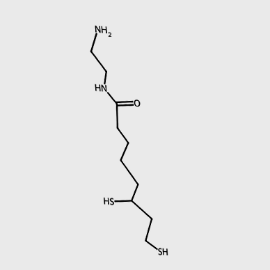 NCCNC(=O)CCCCC(S)CCS